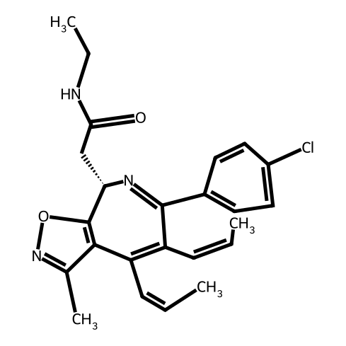 C/C=C\C1=C(/C=C\C)c2c(C)noc2[C@H](CC(=O)NCC)N=C1c1ccc(Cl)cc1